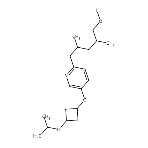 CC(COI)CC(C)Cc1ccc(OC2CC(OC(C)C)C2)cn1